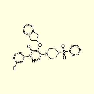 O=c1c(OC2Cc3ccccc3C2)c(N2CCN(S(=O)(=O)c3ccccc3)CC2)cnn1-c1cccc(F)c1